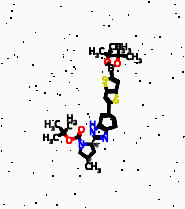 C[C@H]1C[C@@H](c2nc3ccc(-c4cc5sc(B6OC(C)(C)C(C)(C)O6)cc5s4)cc3[nH]2)N(C(=O)OC(C)(C)C)C1